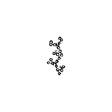 c1ccc(-c2ccc(N(c3ccc(-c4cccc(-c5cc(-c6cc(-c7ccc(N(c8ccc(-c9cccc%10ccccc9%10)cc8)c8ccc(-c9cccc%10ccccc9%10)cc8)cc7)ccc6-c6ccccc6)c6sc7ccccc7c6c5)c4)cc3)c3ccc(-c4ccc(-c5ccccc5)c(-c5cccc6c5sc5ccccc56)c4)cc3)cc2-c2ccccc2)cc1